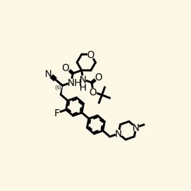 CN1CCN(Cc2ccc(-c3ccc(C[C@@H](C#N)NC(=O)C4(NC(=O)OC(C)(C)C)CCOCC4)c(F)c3)cc2)CC1